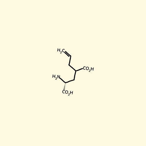 C=CCC(C[C@@H](N)C(=O)O)C(=O)O